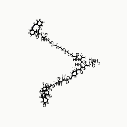 CC(C)[C@H](NC(=O)CCOCCOCCOCCOCCNC(=O)CCC(=O)N1Cc2ccccc2/C=C\c2ccccc21)C(=O)N[C@@H](CCCNC(N)=O)C(=O)Nc1ccc(COC(=O)NCC(=O)NCOCC(=O)[C@@]2(O)[C@H](C)C[C@H]3[C@@H]4CCC5=CC(=O)C=C[C@]5(C)[C@@]4(F)[C@@H](O)C[C@@]32C)cc1